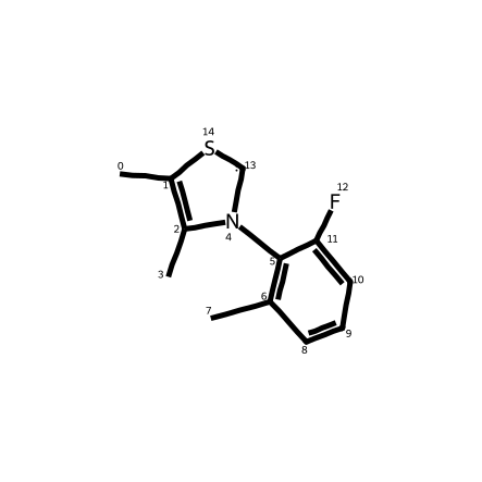 CC1=C(C)N(c2c(C)cccc2F)[C]S1